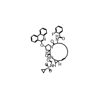 O=C(N[C@H]1CCCCC/C=C\[C@@H]2C[C@@]2(C(=O)NS(=O)(=O)C2CC2)NC(=O)[C@@H]2C[C@@H](Oc3nc4ccccc4c4ccccc34)CN2C1=O)c1ccccc1F